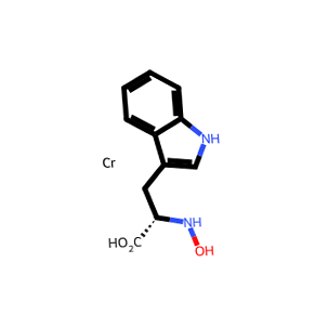 O=C(O)[C@H](Cc1c[nH]c2ccccc12)NO.[Cr]